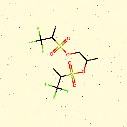 CC(COS(=O)(=O)C(C)C(F)(F)F)OS(=O)(=O)C(C)C(F)(F)F